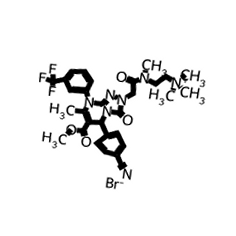 COC(=O)C1=C(C)N(c2cccc(C(F)(F)F)c2)c2nn(CC(=O)N(C)CC[N+](C)(C)C)c(=O)n2C1c1ccc(C#N)cc1.[Br-]